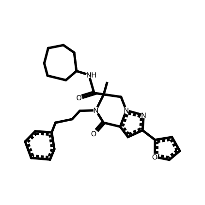 CC1(C(=O)NC2CCCCCC2)Cn2nc(-c3ccco3)cc2C(=O)N1CCCc1ccccc1